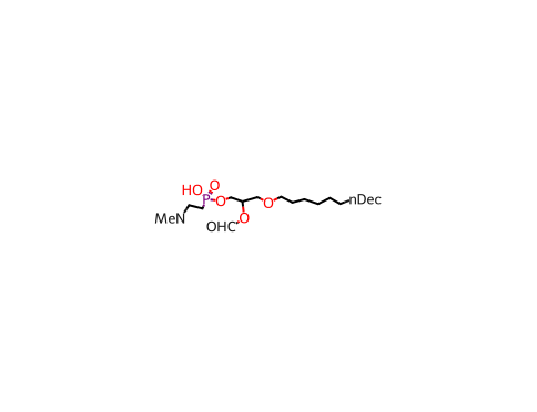 CCCCCCCCCCCCCCCCOCC(COP(=O)(O)CCNC)OC=O